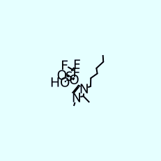 CCCCCCN1C=CN(C)C1C.O=S(=O)(O)C(F)(F)F